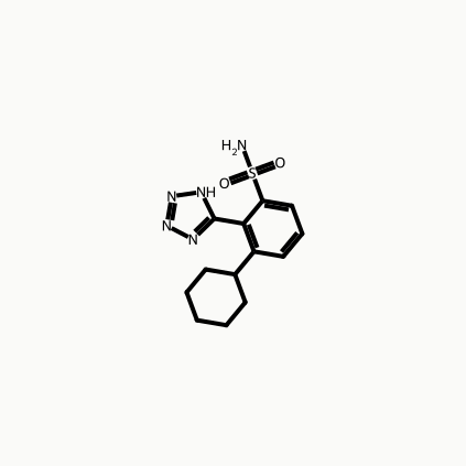 NS(=O)(=O)c1cccc(C2CCCCC2)c1-c1nnn[nH]1